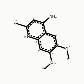 [2H]c1cc(N)c2cc(OC)c(OC)cc2n1